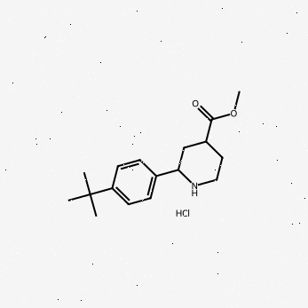 COC(=O)C1CCNC(c2ccc(C(C)(C)C)cc2)C1.Cl